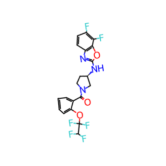 O=C(c1ccccc1OC(F)(F)C(F)F)N1CC[C@@H](Nc2nc3ccc(F)c(F)c3o2)C1